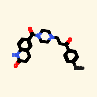 COc1ccc(C(=O)CCN2CCN(C(=O)c3ccc4c(c3)CCC(=O)N4)CC2)cc1